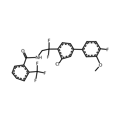 COc1cc(-c2ccc(C(F)(F)CNC(=O)c3ccccc3C(F)(F)F)c(Cl)c2)ccc1F